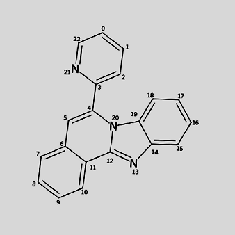 c1ccc(-c2cc3ccccc3c3nc4ccccc4n23)nc1